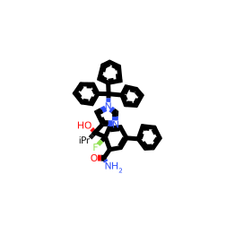 CC(C)C(O)(c1cn(C(c2ccccc2)(c2ccccc2)c2ccccc2)cn1)C1(F)C=CC(c2ccccc2)=CC1C(N)=O